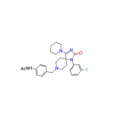 CC(=O)Nc1ccc(CN2CCC3(CC2)C(N2CCCCC2)=NC(=O)N3c2cccc(F)c2)cc1